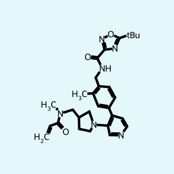 C=CC(=O)N(C)CC1CCN(c2cnccc2-c2ccc(CNC(=O)c3noc(C(C)(C)C)n3)c(C)c2)C1